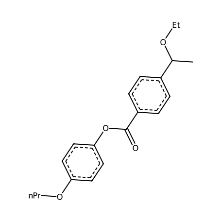 CCCOc1ccc(OC(=O)c2ccc(C(C)OCC)cc2)cc1